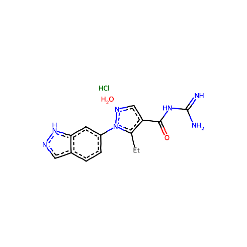 CCc1c(C(=O)NC(=N)N)cnn1-c1ccc2cn[nH]c2c1.Cl.O